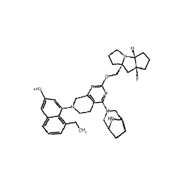 CCc1cccc2cc(O)cc(N3CCc4c(nc(OC[C@@]56CCCN5[C@@H]5CCC[C@]5(F)C6)nc4N4CC5CCC(C4)N5)C3)c12